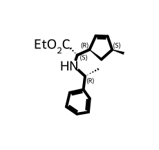 CCOC(=O)[C@@H](N[C@H](C)c1ccccc1)[C@H]1C=C[C@@H](C)C1